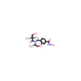 CC1COc2cc(C(=O)NO)ccc2CN1C(=O)C(C)(C)CO